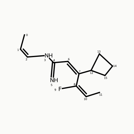 C/C=C\NC(=N)/C=C(\C(F)=C/C)C1CCC1